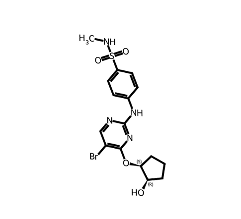 CNS(=O)(=O)c1ccc(Nc2ncc(Br)c(O[C@H]3CCC[C@H]3O)n2)cc1